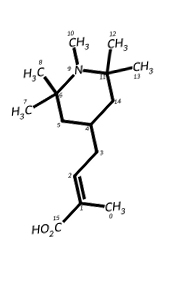 CC(=CCC1CC(C)(C)N(C)C(C)(C)C1)C(=O)O